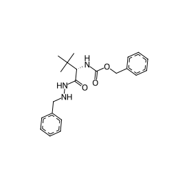 CC(C)(C)[C@H](NC(=O)OCc1ccccc1)C(=O)NNCc1ccccc1